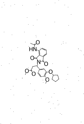 COC(=O)CC(c1ccc(OC)c(OC2CCCC2)c1)N1C(=O)c2cccc(NC(C)=O)c2C1=O